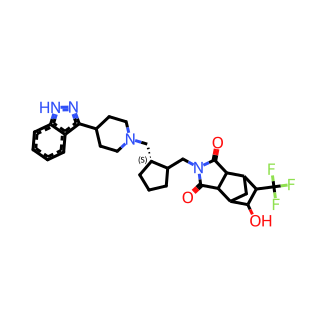 O=C1C2C3CC(C2C(=O)N1CC1CCC[C@@H]1CN1CCC(c2n[nH]c4ccccc24)CC1)C(C(F)(F)F)C3O